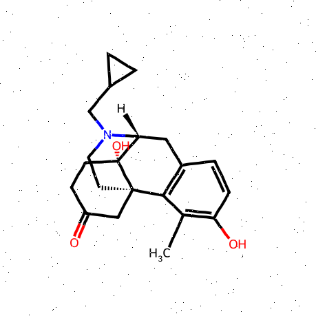 Cc1c(O)ccc2c1[C@]13CCN(CC4CC4)[C@H](C2)[C@]1(O)CCC(=O)C3